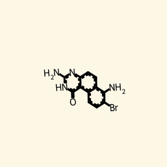 Nc1nc2ccc3c(N)c(Br)ccc3c2c(=O)[nH]1